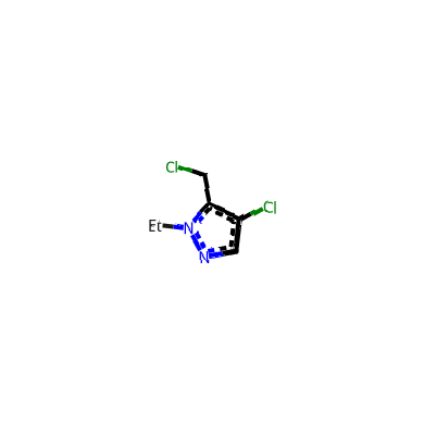 CCn1ncc(Cl)c1CCl